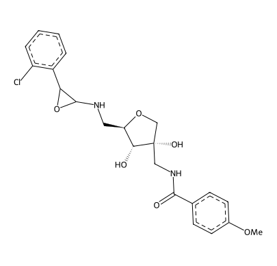 COc1ccc(C(=O)NC[C@]2(O)CO[C@H](CNC3OC3c3ccccc3Cl)[C@H]2O)cc1